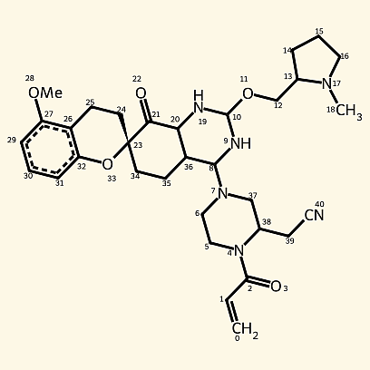 C=CC(=O)N1CCN(C2NC(OCC3CCCN3C)NC3C(=O)[C@]4(CCc5c(OC)cccc5O4)CCC32)CC1CC#N